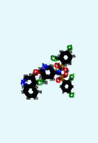 O=S(=O)(c1ccc(Cl)cc1Cl)N(c1cnc(Oc2cnc3ccccc3c2)c(Cl)c1)S(=O)(=O)c1ccc(Cl)cc1Cl